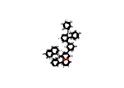 c1ccc(-c2ccccc2N(c2cccc(-c3cccc(-c4cccc5c4c4ccccc4n5-c4ccccc4)c3)c2)c2cccc3ccccc23)cc1